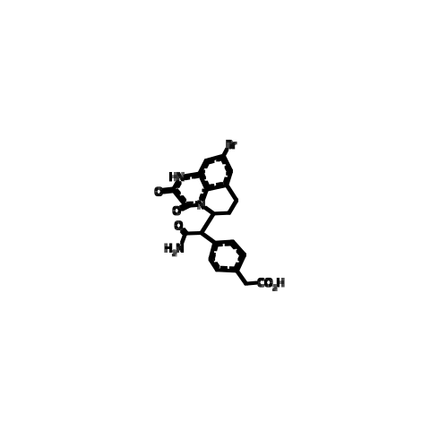 NC(=O)C(c1ccc(CC(=O)O)cc1)C1CCc2cc(Br)cc3[nH]c(=O)c(=O)n1c23